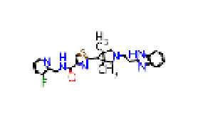 CC12CN(CCc3nc4ccccc4[nH]3)CC1(C)C2c1nc(C(=O)NCc2ncccc2F)cs1